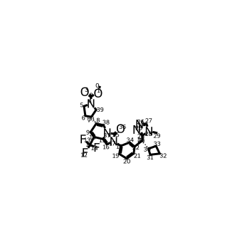 COC(=O)N1CC[C@@H](c2cc(C(F)(F)F)c3cn(-c4cccc([C@H](c5nncn5C)C5CCC5)c4)c(=O)n3c2)C1